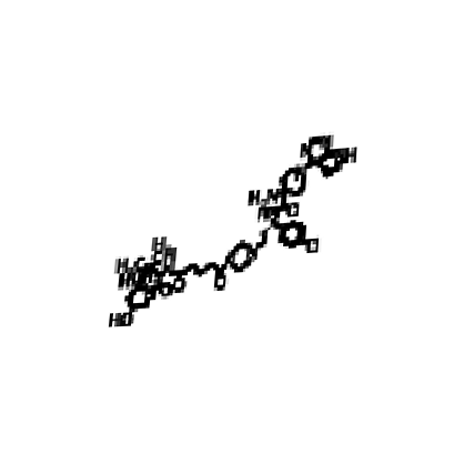 C[C@@H]1C[C@@H](O)CN1C(=O)[C@@H](NC(=O)CCCC(=O)N1CCN(CC[C@H](NC(=O)C2(N)CCN(c3ncnc4[nH]ccc34)CC2)c2ccc(Cl)cc2)CC1)C(C)(C)C